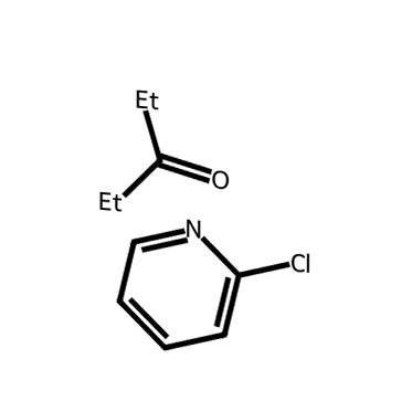 CCC(=O)CC.Clc1ccccn1